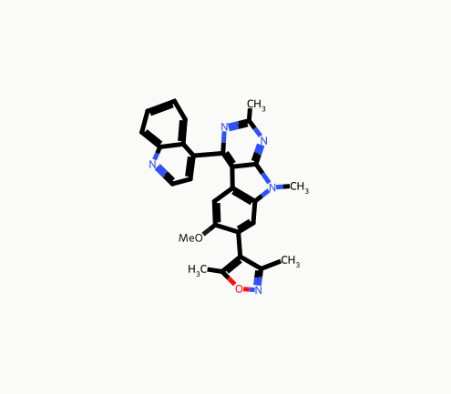 COc1cc2c3c(-c4ccnc5ccccc45)nc(C)nc3n(C)c2cc1-c1c(C)noc1C